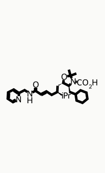 CC(C)[C@@H](C/C=C/C(=O)NCc1ccccn1)C[C@@H]1OC(C)(C)N(C(=O)O)[C@H]1CC1CCCCC1